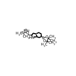 CC1(C)OB(c2ccc3cc(CO[Si](C)(C)C(C)(C)C)[nH]c3c2)OC1(C)C